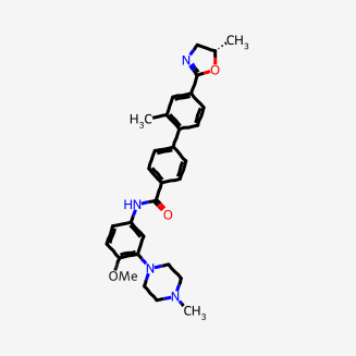 COc1ccc(NC(=O)c2ccc(-c3ccc(C4=NC[C@H](C)O4)cc3C)cc2)cc1N1CCN(C)CC1